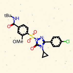 COc1cc(C(=O)NC(C)(C)C)ccc1S(=O)(=O)n1nc(-c2ccc(Cl)cc2)n(C2CC2)c1=O